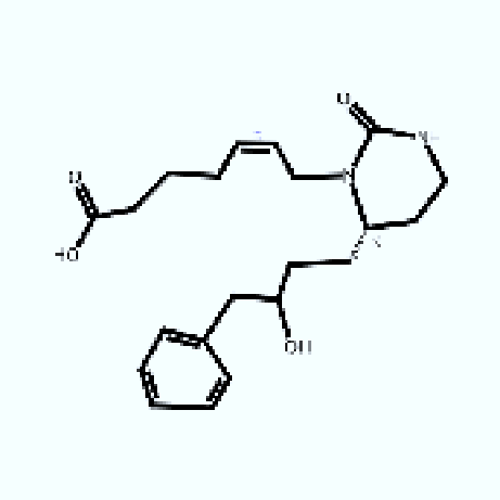 O=C(O)CCC/C=C\CN1C(=O)NCC[C@@H]1CCC(O)Cc1ccccc1